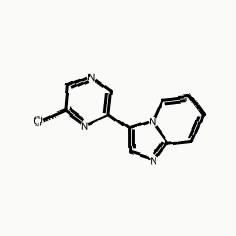 Clc1cncc(-c2cnc3ccccn23)n1